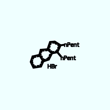 Br.CCCCCc1ccc2cc3ccccc3cc2c1CCCCC